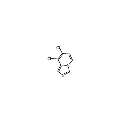 Clc1ccn2cncc2c1Cl